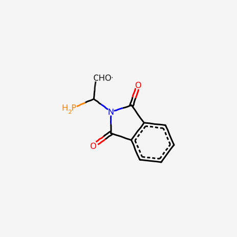 O=[C]C(P)N1C(=O)c2ccccc2C1=O